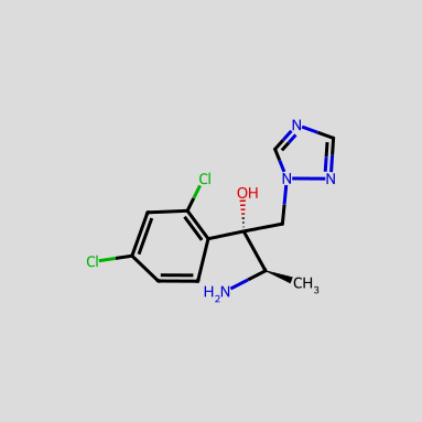 C[C@@H](N)[C@](O)(Cn1cncn1)c1ccc(Cl)cc1Cl